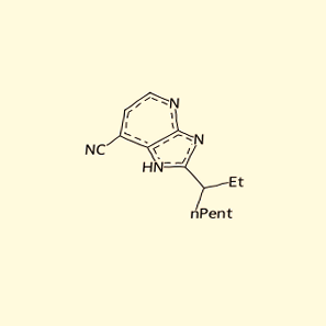 CCCCCC(CC)c1nc2nccc(C#N)c2[nH]1